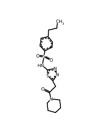 CCCc1ccc(S(=O)(=O)Nc2nnc(CC(=O)N3CCCCC3)s2)cc1